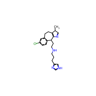 CC1C=NC2=C1CCc1cc(Cl)ccc1C2CCNCCCc1c[nH]cn1